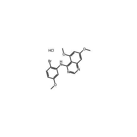 COc1ccc(Br)c(Nc2ncnc3cc(OC)cc(OC)c23)c1.Cl